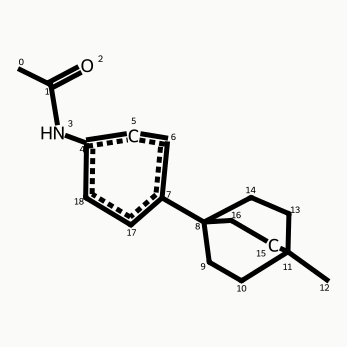 CC(=O)Nc1ccc(C23CCC(C)(CC2)CC3)cc1